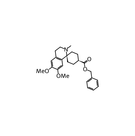 COc1cc2c(cc1OC)[C@]1(CC[C@H](C(=O)OCc3ccccc3)CC1)N(C)CC2